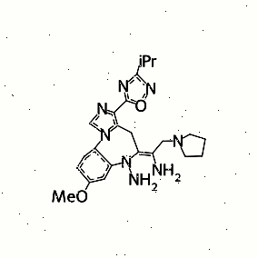 COc1ccc2c(c1)N(N)/C(=C(\N)CN1CCCC1)Cc1c(-c3nc(C(C)C)no3)ncn1-2